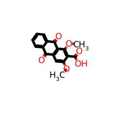 COc1cc2c(c(OC)c1C(=O)O)C(=O)c1ccccc1C2=O